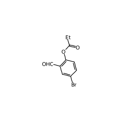 [CH2]CC(=O)Oc1ccc(Br)cc1C=O